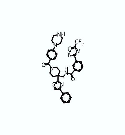 O=C(NCC1(c2nc(-c3ccccc3)cs2)CCN(C(=O)c2ccc(N3CCNCC3)cc2)CC1)c1cccc(-c2noc(C(F)(F)F)n2)c1